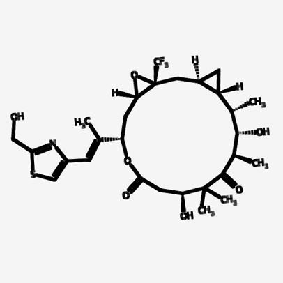 C/C(=C\c1csc(CO)n1)[C@@H]1C[C@@H]2O[C@]2(C(F)(F)F)C[C@H]2C[C@@H]2[C@H](C)[C@H](O)[C@@H](C)C(=O)C(C)(C)[C@@H](O)CC(=O)O1